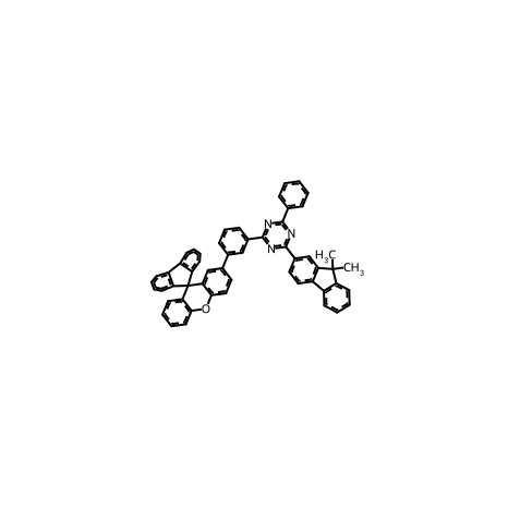 CC1(C)c2ccccc2-c2ccc(-c3nc(-c4ccccc4)nc(-c4cccc(-c5ccc6c(c5)C5(c7ccccc7O6)c6ccccc6-c6ccccc65)c4)n3)cc21